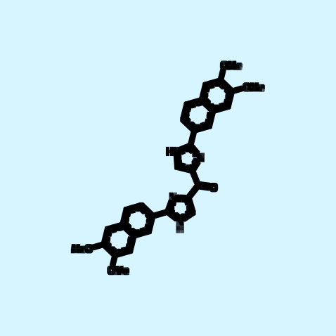 COc1cc2ccc(-c3nc(C(=O)c4c[nH]c(-c5ccc6cc(OC)c(OC)cc6c5)n4)c[nH]3)cc2cc1OC